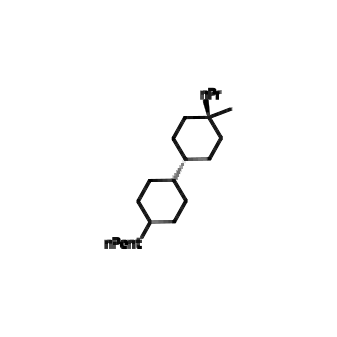 CCCCCC1CCC([C@H]2CC[C@](C)(CCC)CC2)CC1